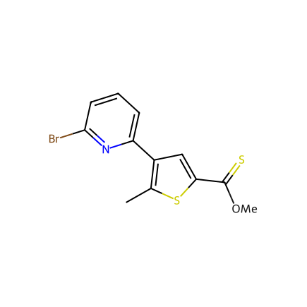 COC(=S)c1cc(-c2cccc(Br)n2)c(C)s1